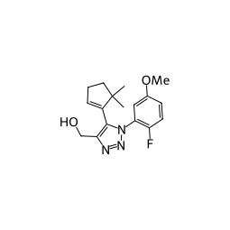 COc1ccc(F)c(-n2nnc(CO)c2C2=CCCC2(C)C)c1